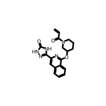 C=CC(=O)N1CCCC(Oc2nc(-c3n[nH]c(=O)[nH]3)cc3ccccc23)C1